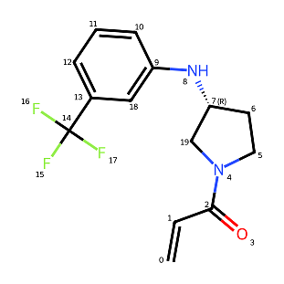 C=CC(=O)N1CC[C@@H](Nc2cccc(C(F)(F)F)c2)C1